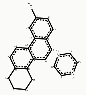 Fc1ccc2ccc3c4c(ccc3c2c1)CCCC4.c1cnccn1